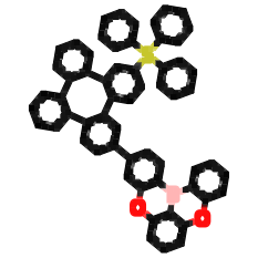 c1ccc(S(c2ccccc2)(c2ccccc2)c2ccc3c(c2)-c2ccccc2-c2ccccc2-c2ccc(-c4ccc5c(c4)Oc4cccc6c4B5c4ccccc4O6)cc2-3)cc1